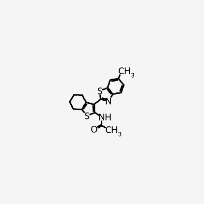 CC(=O)Nc1sc2c(c1-c1nc3ccc(C)cc3s1)CCCC2